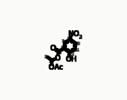 CC(=O)OC(C)OC(=O)c1cc([N+](=O)[O-])ccc1O